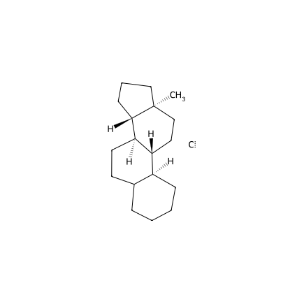 C[C@@]12CCC[C@H]1[C@@H]1CCC3CCCC[C@@H]3[C@H]1CC2.[C]